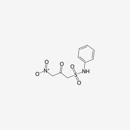 O=C(C[N+](=O)[O-])CS(=O)(=O)Nc1ccccc1